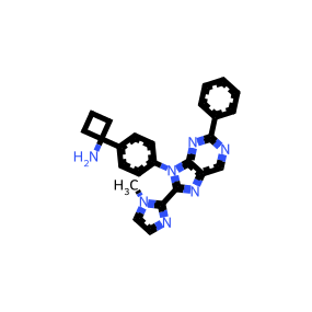 Cn1ccnc1-c1nc2cnc(-c3ccccc3)nc2n1-c1ccc(C2(N)CCC2)cc1